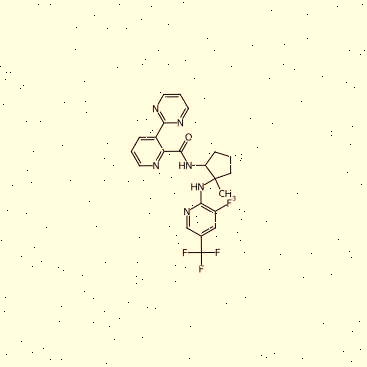 CC1(Nc2ncc(C(F)(F)F)cc2F)CCCC1NC(=O)c1ncccc1-c1ncccn1